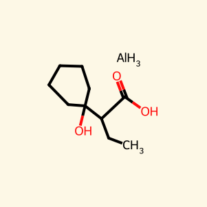 CCC(C(=O)O)C1(O)CCCCC1.[AlH3]